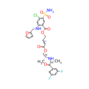 C[C@H](COC(=O)/C=C/COC(=O)c1cc(S(N)(=O)=O)c(Cl)cc1NCc1ccco1)N[C@H](C)C(=O)c1cc(F)cc(F)c1